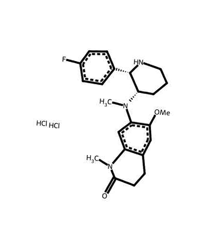 COc1cc2c(cc1N(C)[C@H]1CCCN[C@H]1c1ccc(F)cc1)N(C)C(=O)CC2.Cl.Cl